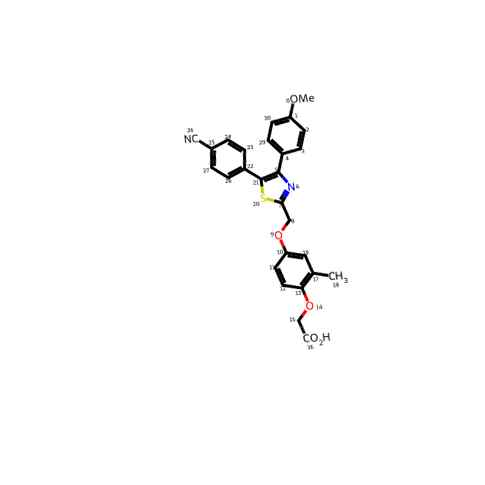 COc1ccc(-c2nc(COc3ccc(OCC(=O)O)c(C)c3)sc2-c2ccc(C#N)cc2)cc1